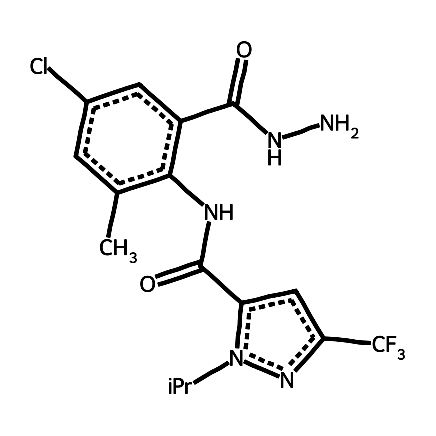 Cc1cc(Cl)cc(C(=O)NN)c1NC(=O)c1cc(C(F)(F)F)nn1C(C)C